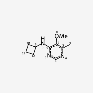 COc1c(C)ncnc1NC1CCC1